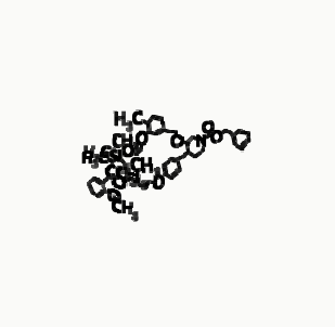 COc1ccccc1COCCCOc1ccc(C2CCN(C(=O)OCc3ccccc3)CC2OCc2ccc(C)c(OCCO[Si](C(C)C)(C(C)C)C(C)C)c2)cc1